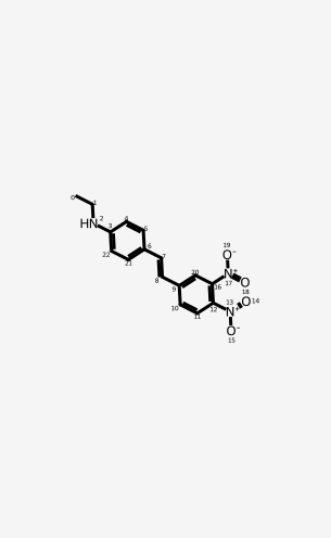 CCNc1ccc(C=Cc2ccc([N+](=O)[O-])c([N+](=O)[O-])c2)cc1